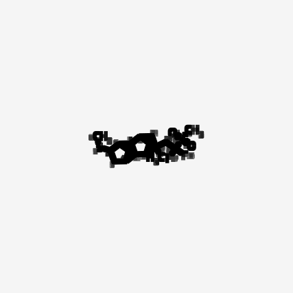 CSC1CC2CC1C1C3CC(C21)C(C)(CC(F)(F)S(C)(=O)=O)C3